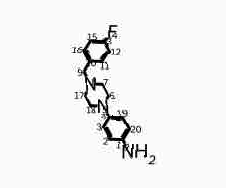 Nc1ccc(N2CCN(Cc3ccc(F)cc3)CC2)cc1